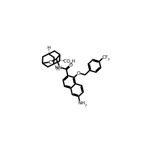 Nc1ccc2c(OCc3ccc(C(F)(F)F)cc3)c(C(=O)N[C@@]3(C(=O)O)CC4C[C@@H]5CC3C[C@H](C4)C5)ccc2c1